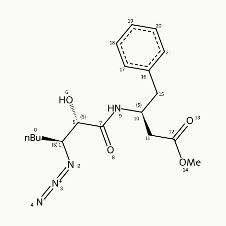 CCCC[C@H](N=[N+]=[N-])[C@H](O)C(=O)N[C@H](CC(=O)OC)Cc1ccccc1